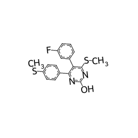 CSc1ccc(-c2nc(O)nc(SC)c2-c2cccc(F)c2)cc1